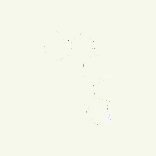 O=C(Cc1cccc2ccccc12)c1cccnc1